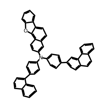 c1ccc2c(-c3ccc(N(c4ccc(-c5ccc6ccc7ccccc7c6c5)cc4)c4ccc5c(ccc6c7ccccc7oc56)c4)cc3)cccc2c1